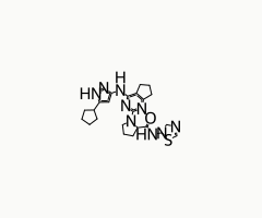 O=C(NN1CN=CS1)C1CCCN1c1nc2c(c(Nc3cc(C4CCCC4)[nH]n3)n1)CCC2